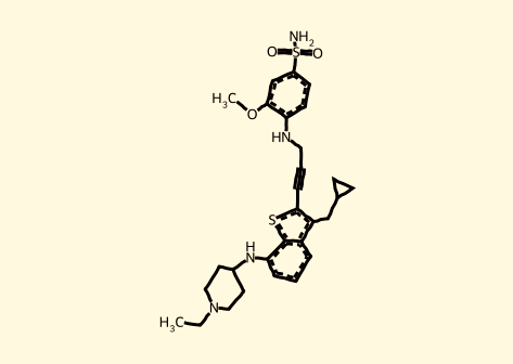 CCN1CCC(Nc2cccc3c(CC4CC4)c(C#CCNc4ccc(S(N)(=O)=O)cc4OC)sc23)CC1